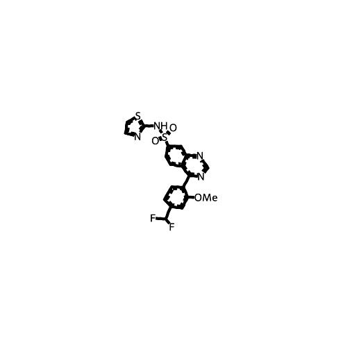 COc1cc(C(F)F)ccc1-c1ncnc2cc(S(=O)(=O)Nc3nccs3)ccc12